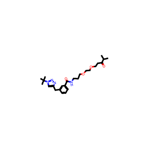 CC(C)C(=O)CCOCCOCCCNC(=O)c1cccc(Cc2cn(C(C)(C)C)nn2)c1